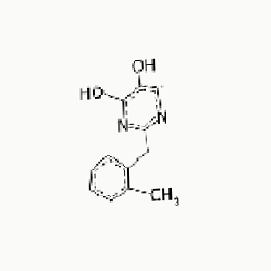 Cc1ccccc1Cc1n[c]c(O)c(O)n1